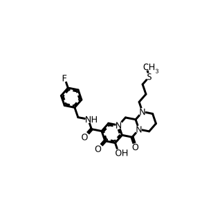 CSCCCN1CCCN2C(=O)c3c(O)c(=O)c(C(=O)NCc4ccc(F)cc4)cn3CC12